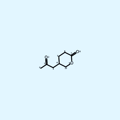 CC(=O)CC1CCC(=O)OC1